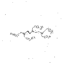 CCOC(=O)CN(CCN(CCN(CC(=O)O)CC(=O)O)CC(=O)O)CC(=O)OCC